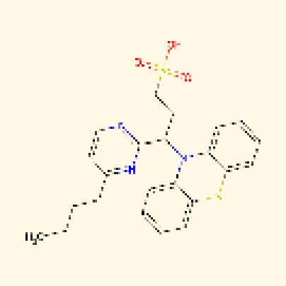 CCCCc1ccnc(C(CCS(=O)(=O)O)N2c3ccccc3Sc3ccccc32)n1